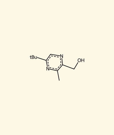 Cc1nc(C(C)(C)C)cnc1CO